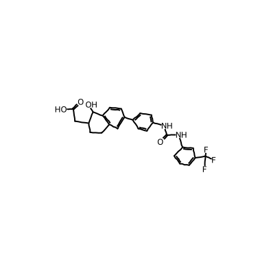 O=C(O)CC1CCc2cc(-c3ccc(NC(=O)Nc4cccc(C(F)(F)F)c4)cc3)ccc2C1O